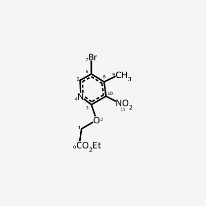 CCOC(=O)COc1ncc(Br)c(C)c1[N+](=O)[O-]